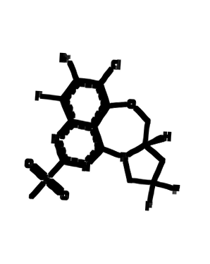 CS(=O)(=O)c1nc2c3c(c(Cl)c(Br)c(F)c3n1)OC[C@@H]1CC(F)(F)CN21